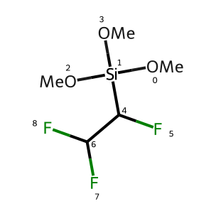 CO[Si](OC)(OC)C(F)C(F)F